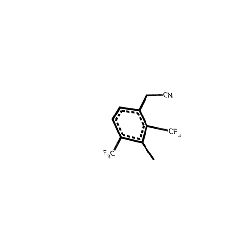 Cc1c(C(F)(F)F)ccc(CC#N)c1C(F)(F)F